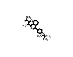 CC(C)(C)Oc1ccc(C(=O)c2cccc3oc(C(N)=S)c(N)c(=O)c23)cc1